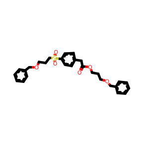 O=C(Cc1ccc(S(=O)(=O)CCCOCc2ccccc2)cc1)OCCCOCc1ccccc1